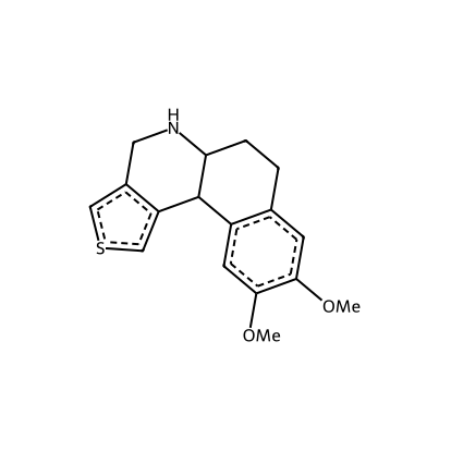 COc1cc2c(cc1OC)C1c3cscc3CNC1CC2